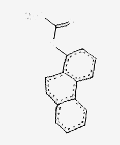 CSC(=S)Sc1cccc2c1ccc1ccccc12